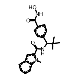 Cn1c(C(=O)NC(c2ccc(C(=O)NO)cc2)C(C)(C)C)cc2ccccc21